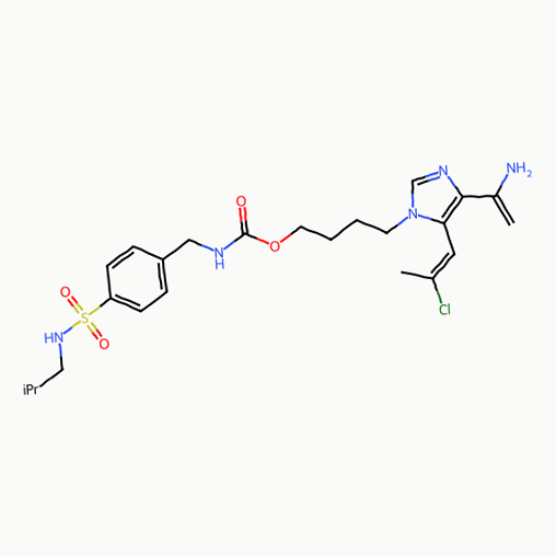 C=C(N)c1ncn(CCCCOC(=O)NCc2ccc(S(=O)(=O)NCC(C)C)cc2)c1/C=C(\C)Cl